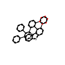 c1ccc(-c2cccc(-c3nnnc(-c4ccccc4)c3-c3ccccc3)c2-c2c(-c3ccccc3)ccc3sc4ccccc4c23)cc1